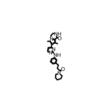 Cc1c(-c2ccnc(Nc3cccc(CCC(=O)N4CCCCC4)c3)n2)c(C)n2c1C(=O)NCC2